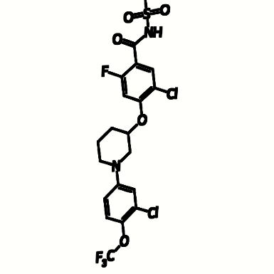 CS(=O)(=O)NC(=O)c1cc(Cl)c(OC2CCCN(c3ccc(OC(F)(F)F)c(Cl)c3)C2)cc1F